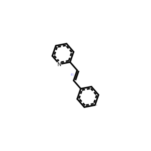 [c]1ccc(/C=C/c2ccccn2)cc1